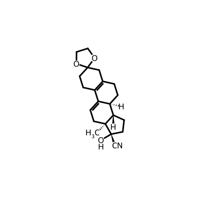 C[C@]12CC=C3C4=C(CC[C@H]3[C@@H]1CC[C@@]2(O)C#N)CC1(CC4)OCCO1